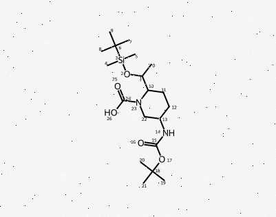 CC(O[Si](C)(C)C(C)(C)C)C1CCC(NC(=O)OC(C)(C)C)CN1C(=O)O